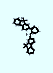 CC1(C)c2ccccc2-c2ccc(Nc3ccccc3-c3ccc4c(c3)C(C)(C)c3ccccc3-4)cc21